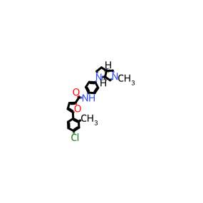 Cc1cc(Cl)ccc1-c1ccc(C(=O)Nc2ccc(N3CC[C@H]4CN(C)C[C@H]43)cc2)o1